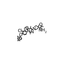 Cc1c(N2CCC3(CC2)CO[C@@H](C)[C@H]3N)nc(C)n(C2=C(Cl)[C@H](Cl)[C@H](Oc3ccn(C)n3)C=C2)c1=O